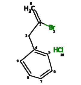 C=C(Br)Cc1ccccc1.Cl